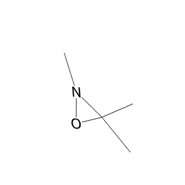 CN1OC1(C)C